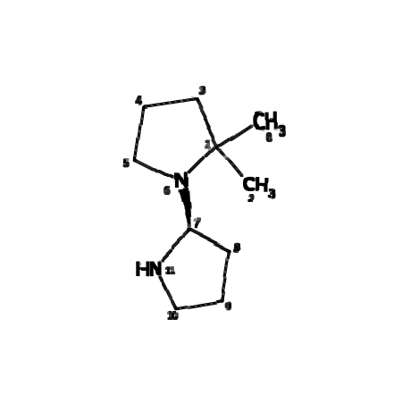 CC1(C)CCCN1[C@H]1CCCN1